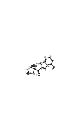 CCCCC1(C(=O)c2cc3c(F)cccc3s2)CCNC1